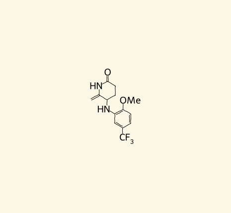 C=C1NC(=O)CCC1Nc1cc(C(F)(F)F)ccc1OC